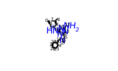 C#C/C=C(\C=C(C)C)Nc1nc(N)nc(CN(C)Cc2ccccc2)n1